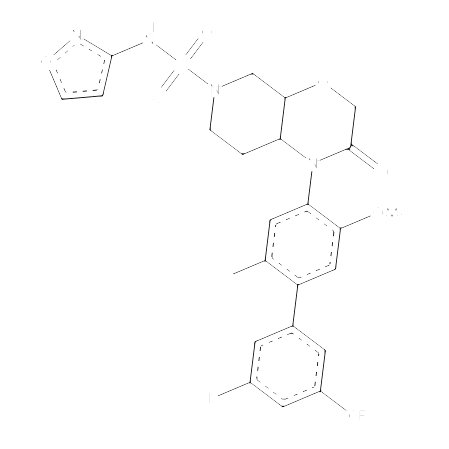 COc1cc(-c2cc(F)cc(C(F)(F)F)c2)c(F)cc1N1C(=O)COC2CN(S(=O)(=O)Nc3ccon3)CCC21